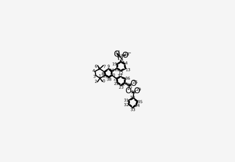 CC1(C)CCC(C)(C)c2cc(-c3cccc([N+](=O)[O-])c3)c(-c3ccc(C(=O)OC(=O)c4ccccc4)cc3)cc21